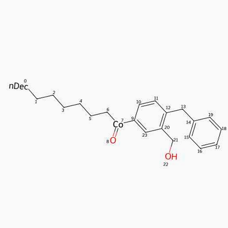 CCCCCCCCCCCCCCC[CH2][Co](=[O])[c]1ccc(Cc2ccccc2)c(CO)c1